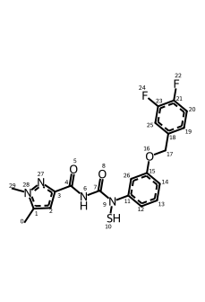 Cc1cc(C(=O)NC(=O)N(S)c2cccc(OCc3ccc(F)c(F)c3)c2)nn1C